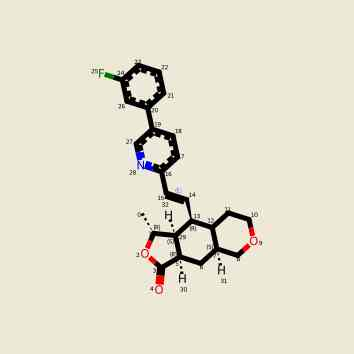 C[C@H]1OC(=O)[C@@H]2C[C@@H]3COCCC3[C@H](/C=C/c3ccc(-c4cccc(F)c4)cn3)[C@H]12